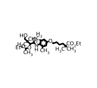 CCOC(=O)C(C)(C)CCCCOc1cc(C)c(NC(=O)C(OC(C)OCC)C(C)(C)CO)c(C)c1